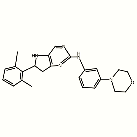 Cc1cccc(C)c1C1Cc2nc(Nc3cccc(N4CCOCC4)c3)ncc2N1